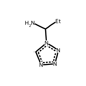 CCC(N)n1[c]nnn1